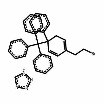 BrCCC1=CCC(c2ccccc2)(C(c2ccccc2)(c2ccccc2)c2ccccc2)C=C1.c1nnn[nH]1